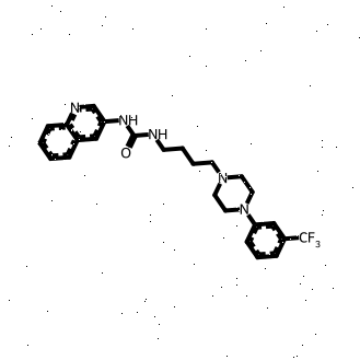 O=C(NCCCCN1CCN(c2cccc(C(F)(F)F)c2)CC1)Nc1cnc2ccccc2c1